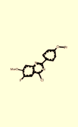 COc1cc2nc(-c3ccc(OC(C)C)cc3)nc(Cl)c2cc1F